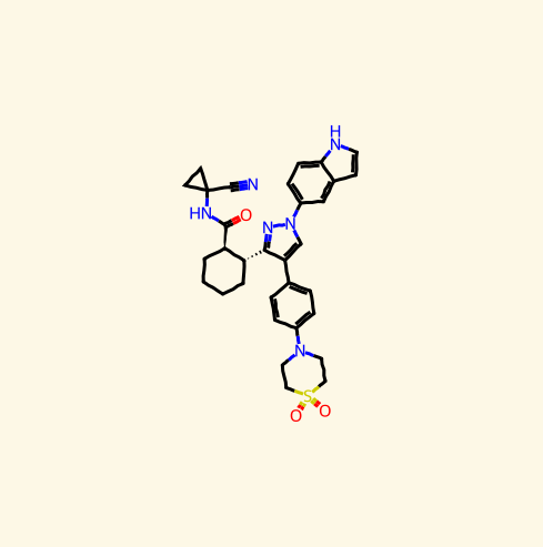 N#CC1(NC(=O)[C@@H]2CCCC[C@H]2c2nn(-c3ccc4[nH]ccc4c3)cc2-c2ccc(N3CCS(=O)(=O)CC3)cc2)CC1